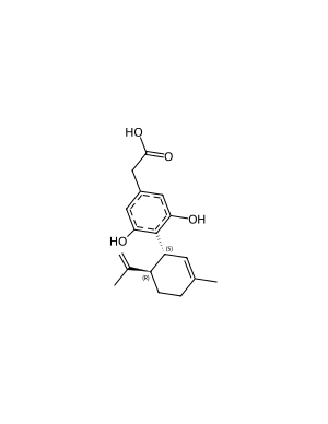 C=C(C)[C@@H]1CCC(C)=C[C@H]1c1c(O)cc(CC(=O)O)cc1O